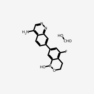 Nc1cnnc2cc(-c3cc(F)c4c(c3)B(O)OCC4)ccc12.O=CO